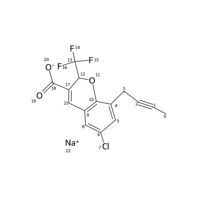 CC#CCc1cc(Cl)cc2c1OC(C(F)(F)F)C(C(=O)[O-])=C2.[Na+]